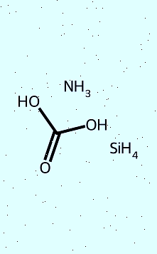 N.O=C(O)O.[SiH4]